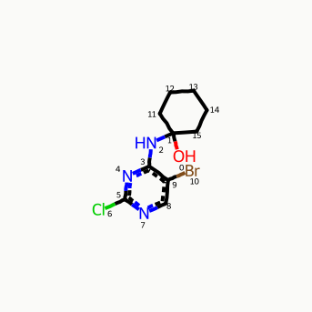 OC1(Nc2nc(Cl)ncc2Br)CCCCC1